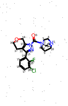 O=C(N1CCN2CCC1CC2)n1nc(-c2cccc(Cl)c2F)c2c1COCC2